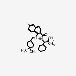 C=C(C)C(NC(=O)c1ccc2cc(F)ccc2c1OCC1CCC(C)(C)CC1)C1CCCCC1